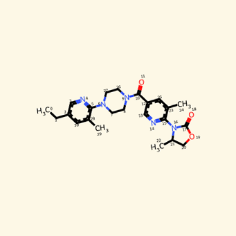 CCc1cnc(N2CCN(C(=O)c3cnc(N4C(=O)OCC4C)c(C)c3)CC2)c(C)c1